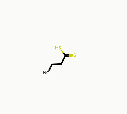 N#CCCC(=S)S